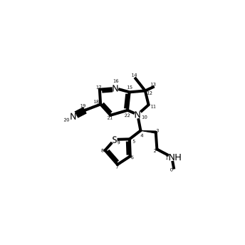 CNCC[C@@H](c1cccs1)N1CC(C)(C)c2ncc(C#N)cc21